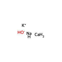 [CaH2].[K+].[NaH].[OH-]